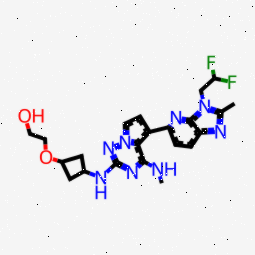 CNc1nc(NC2CC(OCCO)C2)nn2ccc(-c3ccc4nc(C)n(CC(F)F)c4n3)c12